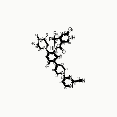 C[C@@H]1CN(c2cc(F)c(C3=CCN(c4ccnc(C#N)n4)CC3)c(F)c2NC(=O)c2c[nH]c(=O)cc2C(F)(F)F)C[C@H](C)N1C